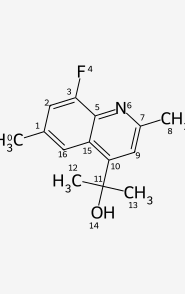 Cc1cc(F)c2nc(C)cc(C(C)(C)O)c2c1